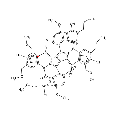 COCc1cc(B(c2cc(COC)c(O)c(COC)c2)n2c(-c3ccccc3C#N)c3/c(=C(\C#N)C4=NC=CC4)n(B(c4cc(COC)c(O)c(COC)c4)c4cc(COC)c(O)c(COC)c4)c(-c4ccccc4C#N)c3/c2=C(\C#N)C2=CCC=C2)cc(COC)c1O